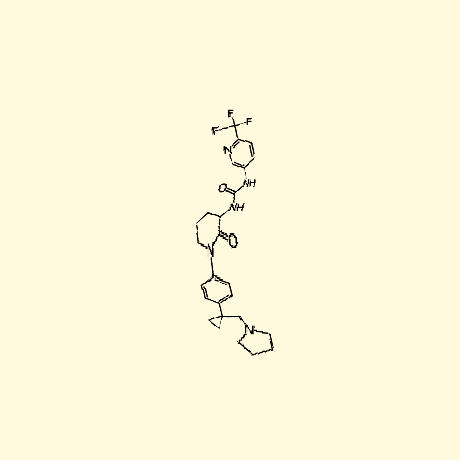 O=C(Nc1ccc(C(F)(F)F)nc1)NC1CCCN(c2ccc(C3(CN4CCCC4)CC3)cc2)C1=O